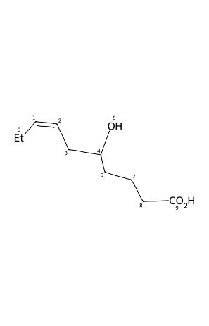 CC/C=C\CC(O)CCCC(=O)O